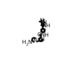 Cc1ncnc2[nH]c(-c3ccc(NC(=O)c4cc(CN5CCCC(N)C5)ccn4)cc3)cc12